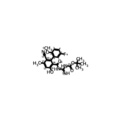 COc1ccc(F)cc1-c1c(C#N)c(C)cc(O)c1C(=O)NC(=N)NC(=O)OC(C)(C)C